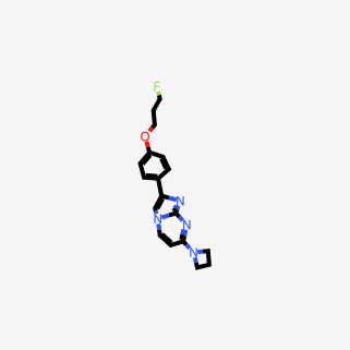 FCCCOc1ccc(-c2cn3ccc(N4CCC4)nc3n2)cc1